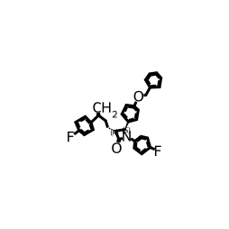 C=C(CC[C@H]1C(=O)N(c2ccc(F)cc2)[C@@H]1c1ccc(OCc2ccccc2)cc1)c1ccc(F)cc1